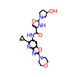 O=C(Nc1cc2oc(N3CCOCC3)nc2nc1C1CC1)C1=COC(N2CCC(O)C2)N1